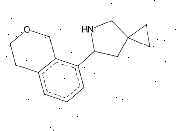 c1cc2c(c(C3CC4(CC4)CN3)c1)COCC2